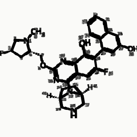 CN1C[C@H](F)C[C@H]1COc1nc(N2[C@@H]3CC[C@H]2CNC3)c2cc(F)c(-c3cc(O)cc4ccccc34)c(O)c2n1